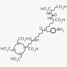 Bc1ccc(CN(CCCC[C@H](NC(=O)NC(CCC(=O)O)C(=O)O)C(=O)O)C(=O)CCCCNC(=O)CCC(C(=O)O)N2CCN(CC(=O)O)CCN(CC(=O)O)CCN(CC(=O)O)CC2)cc1